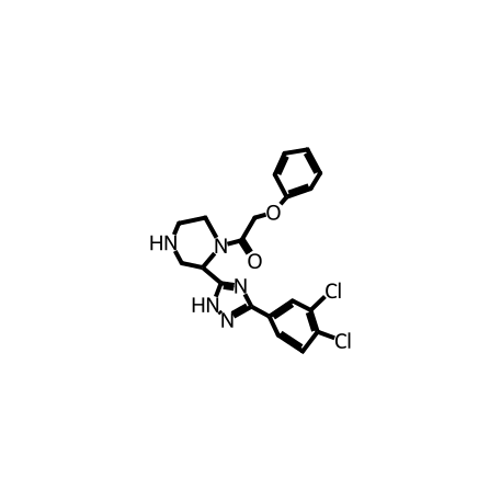 O=C(COc1ccccc1)N1CCNCC1c1nc(-c2ccc(Cl)c(Cl)c2)n[nH]1